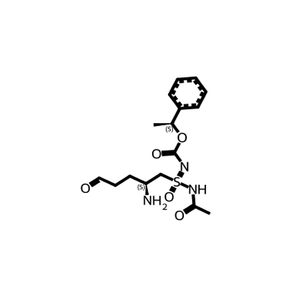 CC(=O)NS(=O)(C[C@@H](N)CCC=O)=NC(=O)O[C@@H](C)c1ccccc1